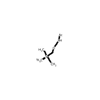 CC(=O)NOC[Si](C)(C)C